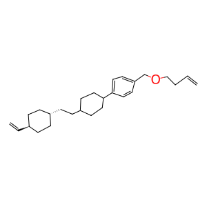 C=CCCOCc1ccc(C2CCC(CC[C@H]3CC[C@H](C=C)CC3)CC2)cc1